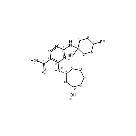 CCCC1(Nc2ncc(C(N)=O)c(N[C@@H]3CCCC[C@H](O)C3)n2)CCC(F)CC1